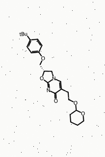 CC(C)(C)c1ccc(OC[C@@H]2Cn3cc(CCOC4CCCCO4)c(=O)nc3O2)cc1